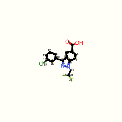 O=C(O)c1ccc2c(c1)c(-c1cccc(Cl)c1)nn2CC(F)F